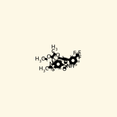 CCOC(=O)C(C)OCC#Cc1cc(C(F)(F)F)ccc1NS(=O)(=O)c1ccc2nc(C)sc2c1